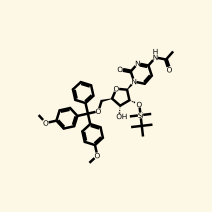 COc1ccc(C(OC[C@H]2O[C@@H](n3ccc(NC(C)=O)nc3=O)[C@H](O[Si](C)(C)C(C)(C)C)[C@@H]2O)(c2ccccc2)c2ccc(OC)cc2)cc1